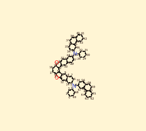 c1ccc(N(c2ccc3cc4c(cc3c2)oc2ccc3oc5cc6cc(N(c7ccccc7)c7ccc8ccc9ccccc9c8c7)ccc6cc5c3c24)c2ccc3ccc4ccccc4c3c2)cc1